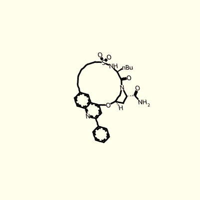 CCCC[C@@H]1NS(=O)(=O)CCCCCc2ccc3nc(-c4ccccc4)cc(c3c2)O[C@@H]2C[C@@H](C(N)=O)N(C2)C1=O